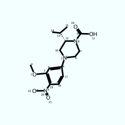 COc1cc(N2CCN(C(=O)O)[C@@H](C(C)C)C2)ccc1[N+](=O)[O-]